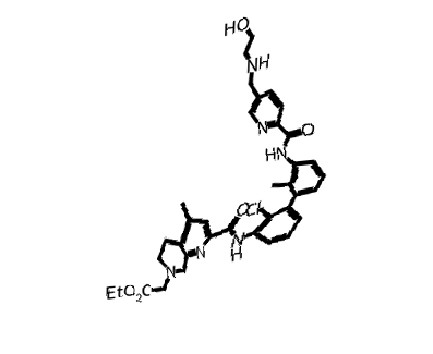 CCOC(=O)CN1CCc2c(C)cc(C(=O)Nc3cccc(-c4cccc(NC(=O)c5ccc(CNCCO)cn5)c4C)c3Cl)nc2C1